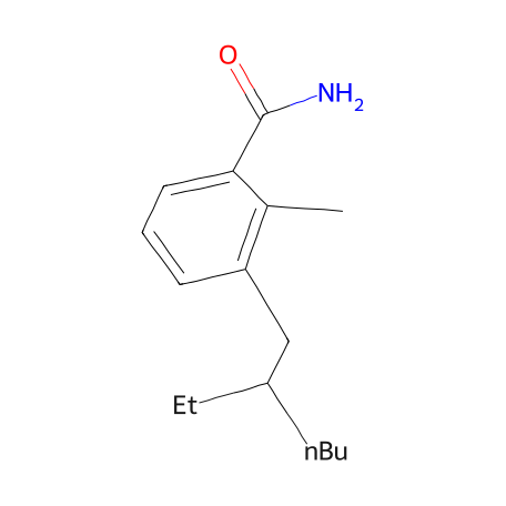 CCCCC(CC)Cc1cccc(C(N)=O)c1C